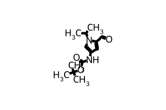 CC(C)n1cc(NC(=O)OC(C)(C)C)cc1C=O